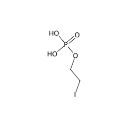 O=P(O)(O)OCCI